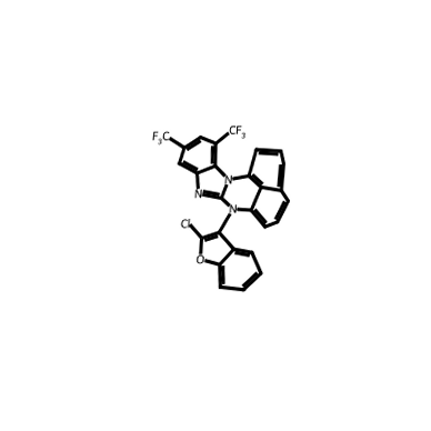 FC(F)(F)c1cc(C(F)(F)F)c2c(c1)nc1n(-c3c(Cl)oc4ccccc34)c3cccc4cccc(c43)n21